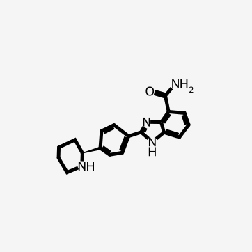 NC(=O)c1cccc2[nH]c(-c3ccc([C@@H]4CCCCN4)cc3)nc12